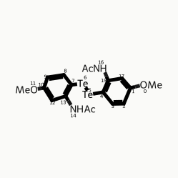 COc1ccc([Te][Te]c2ccc(OC)cc2NC(C)=O)c(NC(C)=O)c1